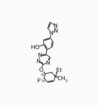 CC[C@@]1(C)C=C[C@H](F)[C@@H](Oc2ncc(-c3ccc(-n4ccnn4)cc3O)nn2)C1